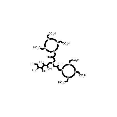 CC(CO)C(O)C(O)C(O)CN(CC(O)CN1CCN(CC(=O)O)CCN(CC(=O)O)CCN(CC(=O)O)CC1)CC(O)CN1CCN(CC(=O)O)CCN(CC(=O)O)CCN(CC(=O)O)CC1